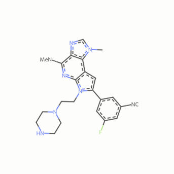 [C-]#[N+]c1cc(F)cc(-c2cc3c4c(ncn4C)c(NC)nc3n2CCN2CCNCC2)c1